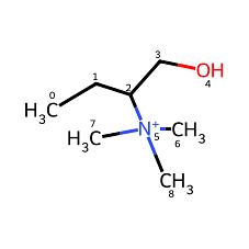 CCC(CO)[N+](C)(C)C